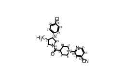 C[C@@H]1CN(C(=O)C2CCN(c3cc(C#N)ccn3)CC2)C[C@H]1c1ccc(Cl)cc1